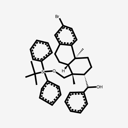 CC(C)(C)[Si](OC[C@@]1(C)[C@@H](C(O)c2ccccc2)CC[C@]2(C)c3ccc(Br)cc3CC[C@@H]12)(c1ccccc1)c1ccccc1